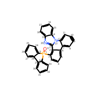 O=P1(c2cccc3c4cc#ccc4n4c5ccccc5nc4c23)c2ccccc2-c2ccccc21